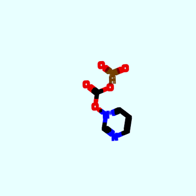 O=C(O[n+]1cccnc1)O[SH](=O)=O